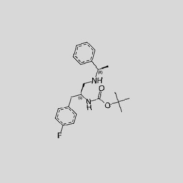 C[C@@H](NC[C@H](Cc1ccc(F)cc1)NC(=O)OC(C)(C)C)c1ccccc1